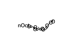 CCCCCCCCOc1ccc(/C=C/C(=O)Oc2ccc3c(c2)C(C)c2cc(OOC/C=C\c4ccc(OCCCCOCC5CO5)cc4)ccc2-3)cc1